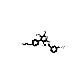 [C-]#[N+]c1c(Cl)nc(SCc2cccc(C(=O)O)c2)c(C#N)c1-c1ccc(OCCO)cc1